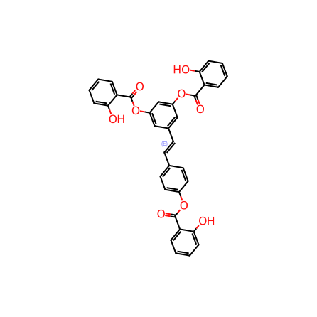 O=C(Oc1ccc(/C=C/c2cc(OC(=O)c3ccccc3O)cc(OC(=O)c3ccccc3O)c2)cc1)c1ccccc1O